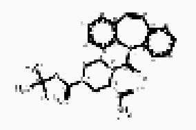 CC(C)(C)OC(=O)N1CCN(C(=O)N2c3ccccc3C=Cc3ccccc32)[C@H](C(N)=O)C1